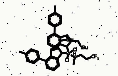 Cc1ccc(-c2cccc3c2C=C(CC(C)(C)C)[CH]3[Zr]([Cl])([Cl])([CH]2C(CC(C)(C)C)=Cc3c(-c4ccc(C)cc4)cccc32)[SiH](C)CCC(F)(F)F)cc1